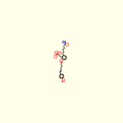 COc1ccc(/C=C/CCCCOc2cccc(CCCCCC(=O)N(C)C)c2CCC(=O)O)cc1